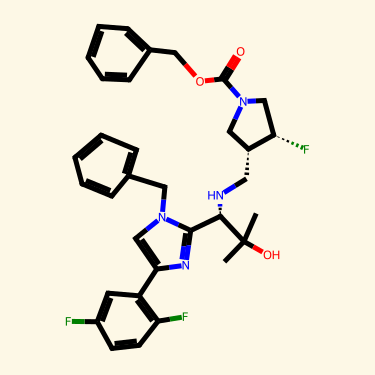 CC(C)(O)[C@@H](NC[C@@H]1CN(C(=O)OCc2ccccc2)C[C@@H]1F)c1nc(-c2cc(F)ccc2F)cn1Cc1ccccc1